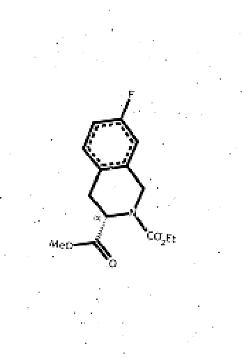 CCOC(=O)N1Cc2cc(F)ccc2C[C@H]1C(=O)OC